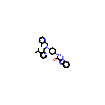 Cc1cccnc1CN(Cc1ncccc1C(C)C)[C@H]1CC[C@H](NC(=O)c2nc3ccccc3[nH]2)CC1